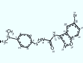 CN(C)c1ccc(SNC(=O)Nc2noc3ccc(Br)cc23)cc1